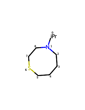 CC(C)N1CCCCSCC1